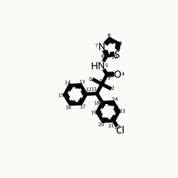 CC(C)(C(=O)Nc1nccs1)C(c1ccccc1)c1ccc(Cl)cc1